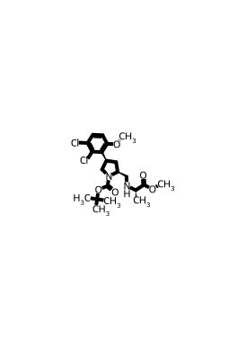 COC(=O)[C@H](C)NC[C@@H]1C[C@H](c2c(OC)ccc(Cl)c2Cl)CN1C(=O)OC(C)(C)C